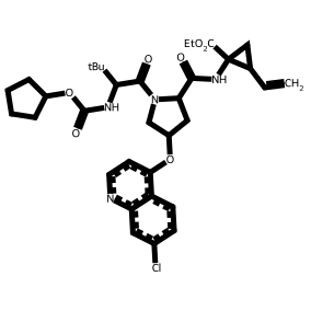 C=CC1CC1(NC(=O)C1CC(Oc2ccnc3cc(Cl)ccc23)CN1C(=O)C(NC(=O)OC1CCCC1)C(C)(C)C)C(=O)OCC